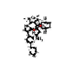 CS(=O)(=O)c1c(C2C[C@H]3CC[C@@H](C2)N3C(=O)c2cc(N)n[nH]2)nc2c(-c3ccc(-c4ccc(F)cc4)nc3)cnn2c1N